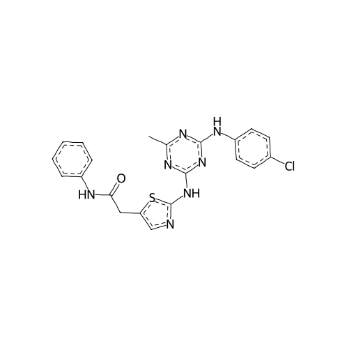 Cc1nc(Nc2ccc(Cl)cc2)nc(Nc2ncc(CC(=O)Nc3ccccc3)s2)n1